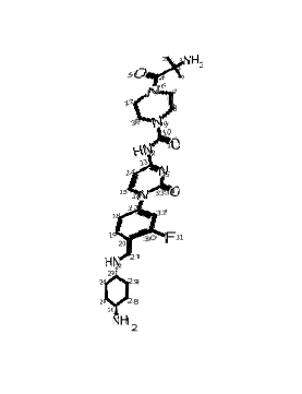 CC(C)(N)C(=O)N1CCN(C(=O)Nc2ccn(-c3ccc(CN[C@H]4CC[C@H](N)CC4)c(F)c3)c(=O)n2)CC1